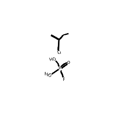 O=P(O)(O)F.[Li][CH](C)C